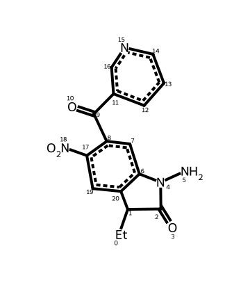 CCC1C(=O)N(N)c2cc(C(=O)c3cccnc3)c([N+](=O)[O-])cc21